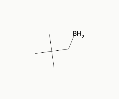 BCC(C)(C)C